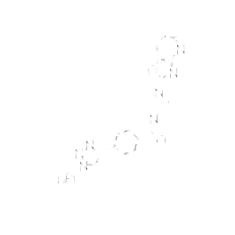 CCCn1cc(-c2ccc(C(=O)N3CCN(c4nc5nc(C)ccc5o4)CC3)cc2)nn1